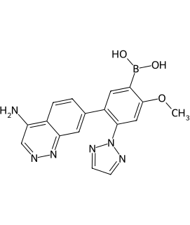 COc1cc(-n2nccn2)c(-c2ccc3c(N)cnnc3c2)cc1B(O)O